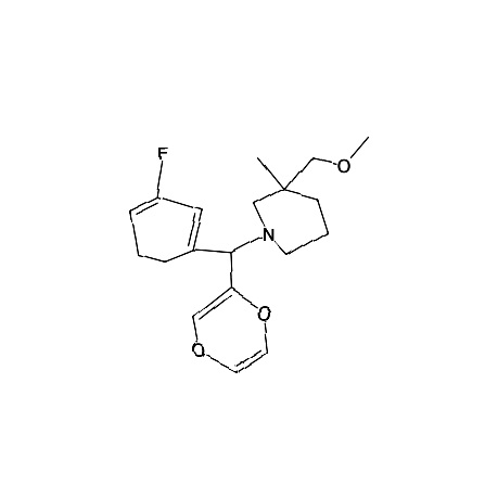 COCC1(C)CCCN(C(C2=CC(F)=CCC2)C2=COC=CO2)C1